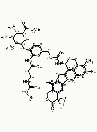 CC[C@@]1(O)C(=O)OCc2c1cc1n(c2=O)Cc2c-1nc1cc(F)c(C)c3c1c2[C@@H](NC(=O)OCc1ccc(O[C@@H]2O[C@H](C(=O)OC)[C@@H](OC(C)=O)[C@H](OC(C)=O)[C@H]2OC(C)=O)c(NC(=O)CCNC(=O)OC(C)(C)C)c1)CC3